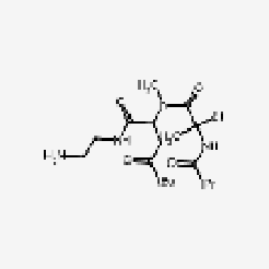 CCC(C)(NC(=O)C(C)C)C(=O)N(C)C(CC(=O)C(C)(C)C)C(=O)NCCN